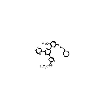 CCOC(=O)Nc1ncc(-c2cc(-c3cc(OCCC4CCCCC4)ccc3OC)nc(-c3cnccn3)n2)s1